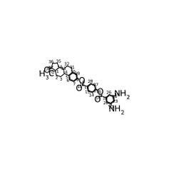 CC12CCC3c4ccc(OC(=O)c5ccc(OC(=O)c6cc(N)cc(N)c6)cc5)cc4CCC3C1CCC2=O